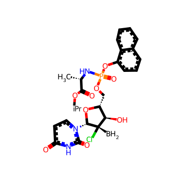 B[C@]1(Cl)[C@H](O)[C@@H](COP(=O)(N[C@@H](C)C(=O)OC(C)C)Oc2cccc3ccccc23)O[C@H]1n1ccc(=O)[nH]c1=O